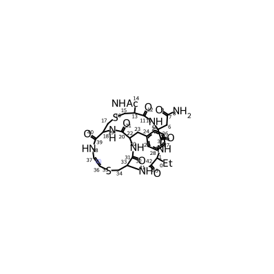 CCC1NC(=O)C(CC(N)=O)NC(=O)C(NC(C)=O)CSCC2NC(=O)C(Cc3ccccc3)NC(=O)C(CS/C=C\NC2=O)NC1=O